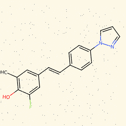 O=Cc1cc(C=Cc2ccc(-n3cccn3)cc2)cc(F)c1O